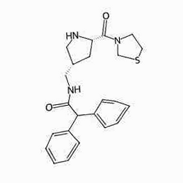 O=C(NC[C@@H]1CN[C@H](C(=O)N2CCSC2)C1)C(c1ccccc1)c1ccccc1